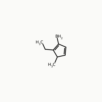 BC1=C(CC)C(C)C=C1